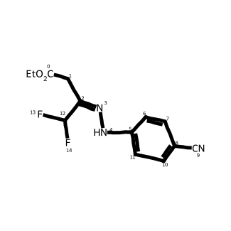 CCOC(=O)CC(=NNc1ccc(C#N)cc1)C(F)F